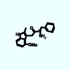 COc1cccc2[nH]c(C)c(CC(=O)N(N)Cc3ccccc3)c12